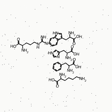 N=C(N)NCCCC(N)C(=O)O.NC(Cc1c[nH]c2ccccc12)C(=O)O.NC(Cc1c[nH]cn1)C(=O)O.NC(Cc1ccccc1)C(=O)O.NCCCCC(N)C(=O)O